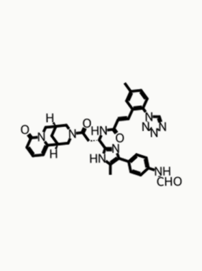 Cc1ccc(-n2cnnn2)c(/C=C/C(=O)N[C@@H](CC(=O)N2C[C@@H]3C[C@H](C2)c2cccc(=O)n2C3)c2nc(-c3ccc(NC=O)cc3)c(C)[nH]2)c1